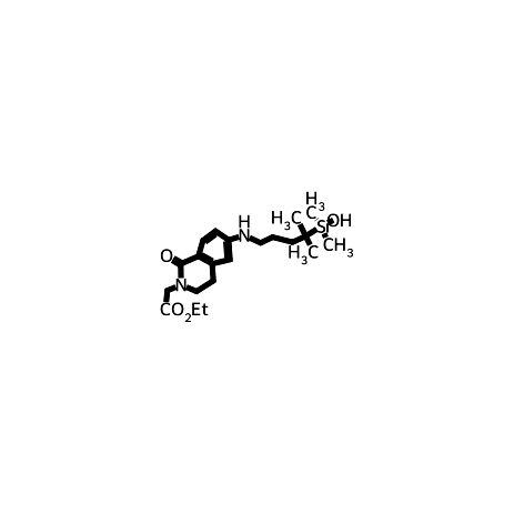 CCOC(=O)CN1CCc2cc(NCCCC(C)(C)[Si](C)(C)O)ccc2C1=O